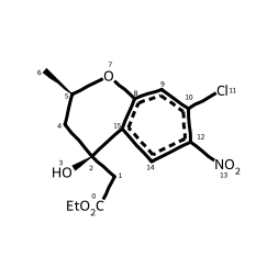 CCOC(=O)C[C@]1(O)C[C@@H](C)Oc2cc(Cl)c([N+](=O)[O-])cc21